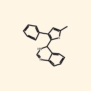 Cc1cc(-c2ccccc2)c(C2NC=Nc3ccccc32)s1